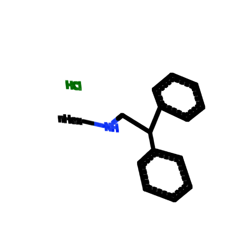 CCCCCCNCC(c1ccccc1)c1ccccc1.Cl